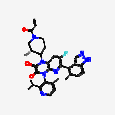 C=CC(=O)N1CCC(n2c(=O)c(=O)n(-c3c(C)ccnc3C(C)C)c3nc(-c4c(C)ccc5[nH]ncc45)c(F)cc32)[C@H](C)C1